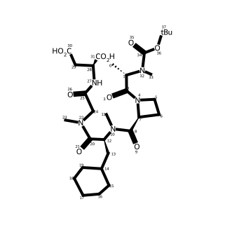 C[C@@H](C(=O)N1CC[C@H]1C(=O)N(C)[C@@H](CC1CCCCC1)C(=O)N(C)CC(=O)N[C@@H](CC(=O)O)C(=O)O)N(C)C(=O)OC(C)(C)C